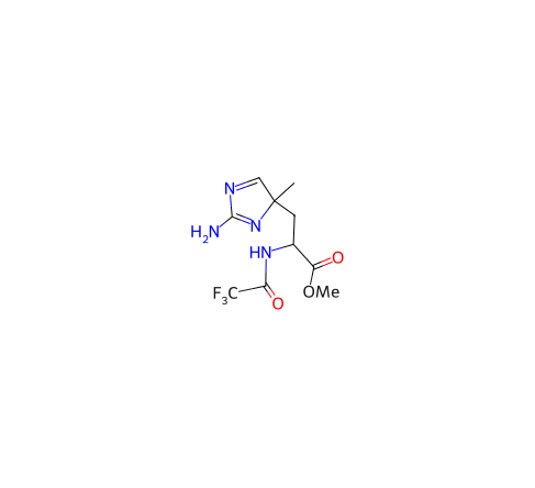 COC(=O)C(CC1(C)C=NC(N)=N1)NC(=O)C(F)(F)F